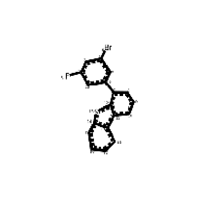 Fc1cc(Br)cc(-c2cccc3c2sc2ccccc23)c1